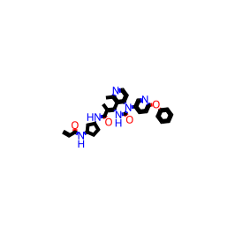 C=CC(=O)NC1CC[C@@H](NC(=O)/C(C)=C2\NC(=O)N(c3ccc(Oc4ccccc4)nc3)c3ccnc(C)c32)C1